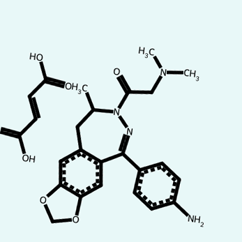 CC1Cc2cc3c(cc2C(c2ccc(N)cc2)=NN1C(=O)CN(C)C)OCO3.O=C(O)C=CC(=O)O